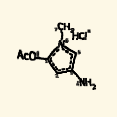 CC(=O)Oc1cc(N)cn1C.Cl